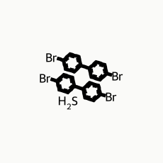 Brc1ccc(-c2ccc(Br)cc2)cc1.Brc1ccc(-c2ccc(Br)cc2)cc1.S